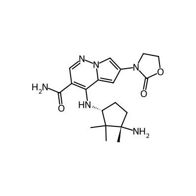 CC1(C)[C@H](Nc2c(C(N)=O)cnn3cc(N4CCOC4=O)cc23)CC[C@]1(C)N